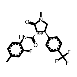 Cc1ccc(NC(=O)[C@@H]2C(=O)N(C)C[C@H]2c2ccc(C(F)(F)F)cc2)c(F)c1